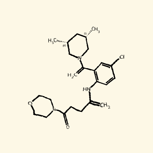 C=C(CCC(=O)N1CCOCC1)Nc1ccc(Cl)cc1C(=C)N1C[C@H](C)C[C@H](C)C1